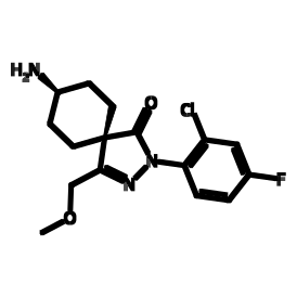 COCC1=NN(c2ccc(F)cc2Cl)C(=O)[C@]12CC[C@H](N)CC2